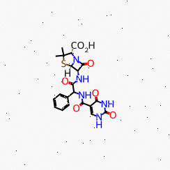 CC1(C)S[C@@H]2[C@H](NC(=O)C(NC(=O)c3c[nH]c(=O)[nH]c3=O)c3ccccc3)C(=O)N2[C@H]1C(=O)O